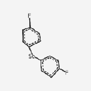 Fc1ccc([Se]c2ccc(F)cc2)cc1